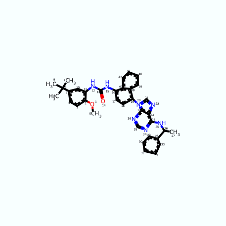 COc1ccc(C(C)(C)C)cc1NC(=O)Nc1ccc(-n2cnc3c(NC(C)c4ccccc4)ncnc32)c2ccccc12